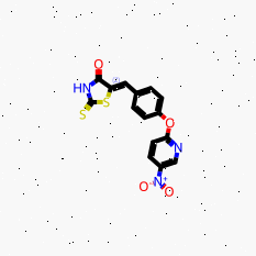 O=C1NC(=S)S/C1=C\c1ccc(Oc2ccc([N+](=O)[O-])cn2)cc1